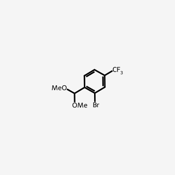 COC(OC)c1ccc(C(F)(F)F)cc1Br